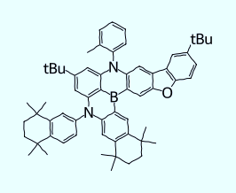 Cc1ccccc1N1c2cc3c(cc2B2c4cc5c(cc4N(c4ccc6c(c4)C(C)(C)CCC6(C)C)c4cc(C(C)(C)C)cc1c42)C(C)(C)CCC5(C)C)oc1ccc(C(C)(C)C)cc13